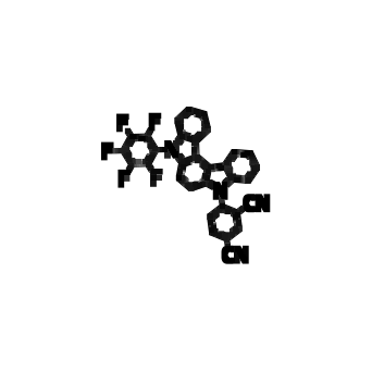 N#Cc1ccc(-n2c3ccccc3c3c4c5ccccc5n(-c5c(F)c(F)c(F)c(F)c5F)c4ccc32)c(C#N)c1